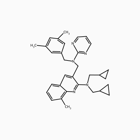 Cc1cc(C)cc(CN(Cc2cc3cccc(C)c3nc2N(CC2CC2)CC2CC2)c2ncccn2)c1